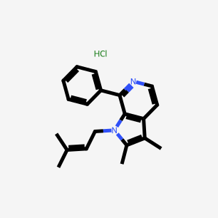 CC(C)=CCn1c(C)c(C)c2ccnc(-c3ccccc3)c21.Cl